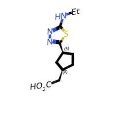 CCNc1nnc([C@H]2CC[C@@H](CC(=O)O)C2)s1